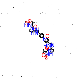 COC(=O)NC(C(=O)N1CCC[C@H]1c1ncc(-c2ccc(-n3ccc(-c4cnc([C@@H]5CCCN5C(=O)[C@@H](NC(=O)OC)C(C)C)[nH]4)cc3=O)cc2)[nH]1)C(C)C